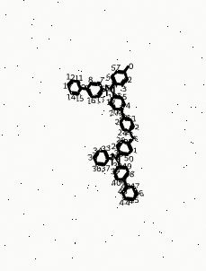 Cc1ccc(N(c2ccc(-c3ccccc3)cc2)c2ccc(-c3ccc(Cc4ccc(N(c5ccccc5)c5ccc(-c6ccccc6)cc5)cc4)cc3)cc2)cc1